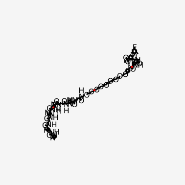 CCS(=O)(=O)c1ccc(Oc2c(C)cc(F)cc2C)c(-c2cn(C)c(=O)c3[nH]c(C(=O)Nc4ccc(OCCOCCOCCOCCOCCOCCOCCOCCOCCNC(=O)CCNC(=O)c5nc(NC(=O)CCNC(=O)c6cc(NC(=O)c7nc(NC(=O)CCNC(=O)c8cc(NC(=O)c9nccn9C)cn8C)cn7C)cn6C)cn5C)cc4)cc23)c1